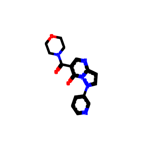 O=C(c1cnc2ccn(-c3cccnc3)n2c1=O)N1CCOCC1